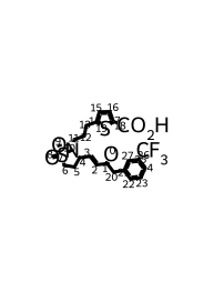 O=C(C=CC1CCS(=O)(=O)N1CCCc1ccc(C(=O)O)s1)Cc1cccc(C(F)(F)F)c1